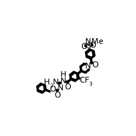 CNS(=O)(=O)c1ccc(C(=O)N2CCC(c3ccc(C(=O)NC(N)=NC(=O)OCc4ccccc4)cc3C(F)(F)F)CC2)cc1